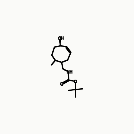 CC1CC[C@@H](O)/C=C\CC1CNC(=O)OC(C)(C)C